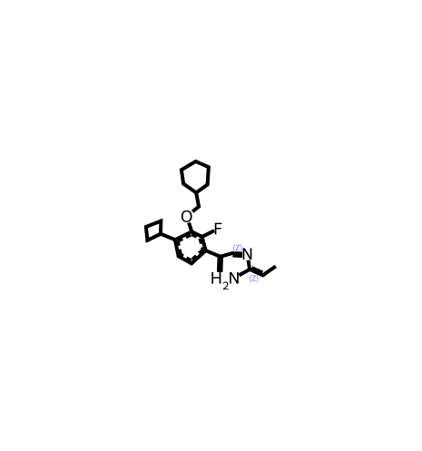 C=C(/C=N\C(N)=C/C)c1ccc(C2CCC2)c(OCC2CCCCC2)c1F